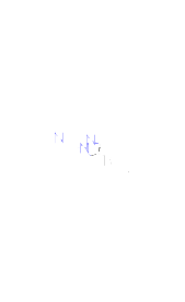 Bc1cnn(CCN(C)C)c1